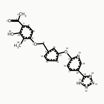 CC(=O)c1ccc(OCc2cccc(Oc3ccc(-c4nnn[nH]4)cn3)c2)c(C)c1O